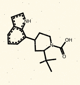 CC(C)(C)C1CC(c2cccc3cc[nH]c23)CCN1C(=O)O